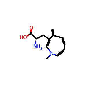 C=C1/C=C\C=CN(C)/C=C\1C[C@@H](N)C(=O)O